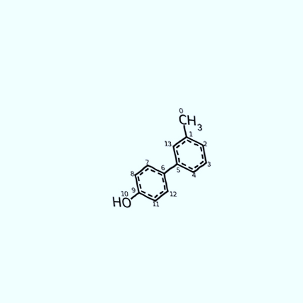 Cc1cccc(-c2ccc(O)cc2)c1